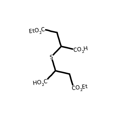 CCOC(=O)CC(SC(CC(=O)OCC)C(=O)O)C(=O)O